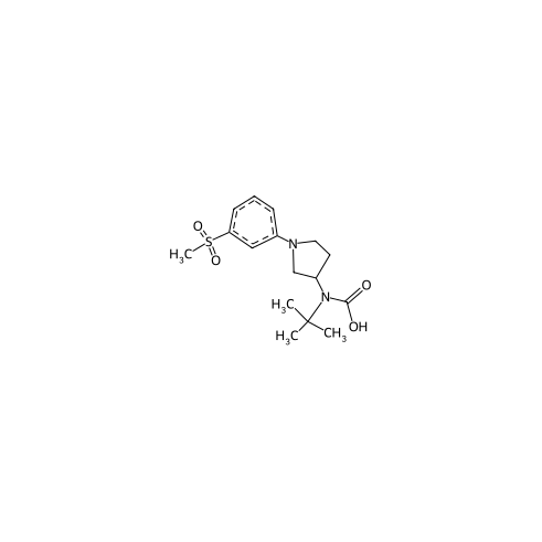 CC(C)(C)N(C(=O)O)C1CCN(c2cccc(S(C)(=O)=O)c2)C1